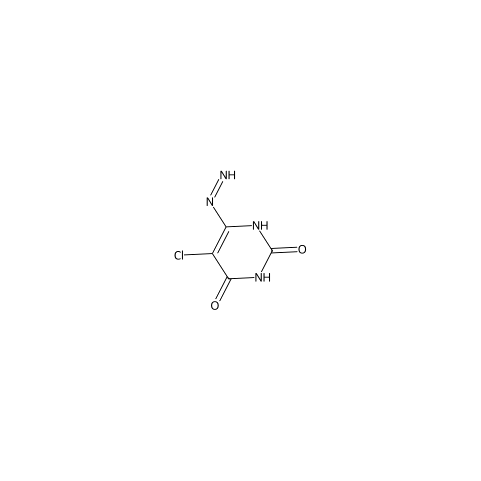 N=Nc1[nH]c(=O)[nH]c(=O)c1Cl